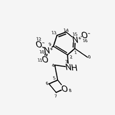 Cc1c(NCC2CCO2)c([N+](=O)[O-])cc[n+]1[O-]